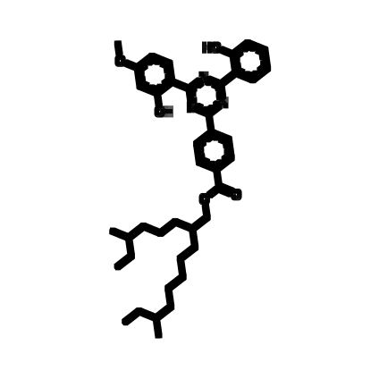 CCC(C)CCCCCC(CCCC(C)CC)COC(=O)c1ccc(-c2nc(-c3ccccc3O)nc(-c3ccc(OC)cc3O)n2)cc1